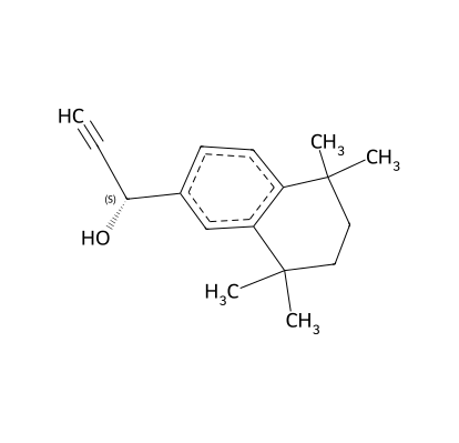 C#C[C@@H](O)c1ccc2c(c1)C(C)(C)CCC2(C)C